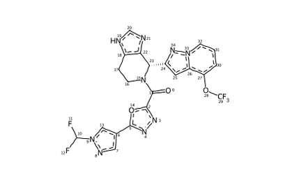 O=C(c1nnc(-c2cnn(C(F)F)c2)o1)N1CCc2[nH]cnc2[C@@H]1c1cc2c(OC(F)(F)F)cccn2n1